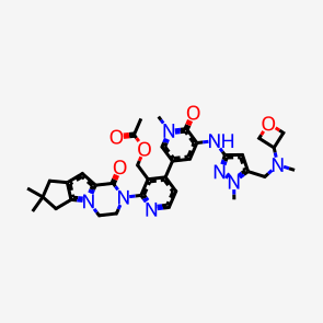 CC(=O)OCc1c(-c2cc(Nc3cc(CN(C)C4COC4)n(C)n3)c(=O)n(C)c2)ccnc1N1CCn2c(cc3c2CC(C)(C)C3)C1=O